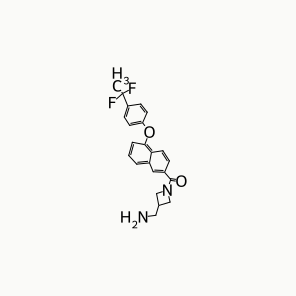 CC(F)(F)c1ccc(Oc2cccc3cc(C(=O)N4CC(CN)C4)ccc23)cc1